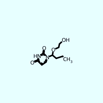 CCCC(OCCO)n1ccc(=O)[nH]c1=O